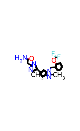 Cc1nc(CC(N)=O)ncc1-c1ccc2nc(C)n(Cc3ccccc3OC(F)F)c2c1